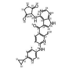 O=C(c1ccc(Nc2ccc(C3CC3)nc2)nc1F)c1c[nH]c2ncnc(NC3C(=O)CSC3=O)c12